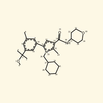 COC(C)(C)c1cc(C)cc(-c2cc(C(=O)NC3CCOCC3)c(C)n2CC2CCCCC2)c1